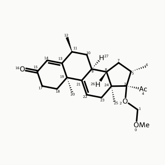 COCO[C@]1(C(C)=O)[C@@H](C)C[C@H]2[C@@H]3C[C@H](C)C4=CC(=O)CC[C@]4(C)C3=CC[C@@]21C